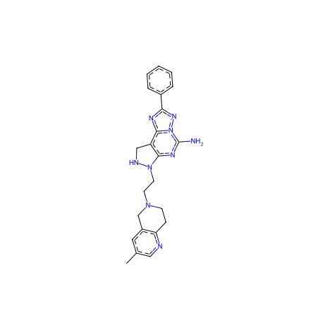 Cc1cnc2c(c1)CN(CCN1NCc3c1nc(N)n1nc(-c4ccccc4)nc31)CC2